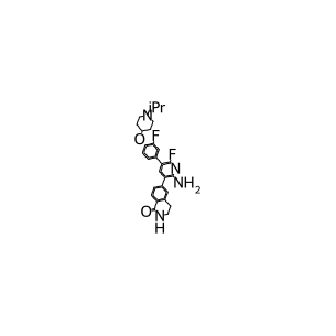 CC(C)N1CCC(Oc2ccc(-c3cc(-c4ccc5c(c4)CCNC5=O)c(N)nc3F)cc2F)CC1